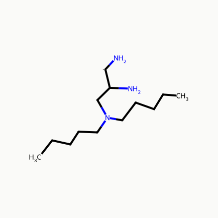 CCCCCN(CCCCC)CC(N)[CH]N